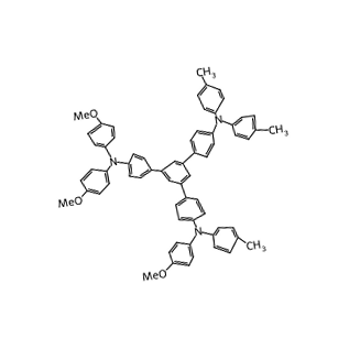 COc1ccc(N(c2ccc(C)cc2)c2ccc(-c3cc(-c4ccc(N(c5ccc(C)cc5)c5ccc(C)cc5)cc4)cc(-c4ccc(N(c5ccc(OC)cc5)c5ccc(OC)cc5)cc4)c3)cc2)cc1